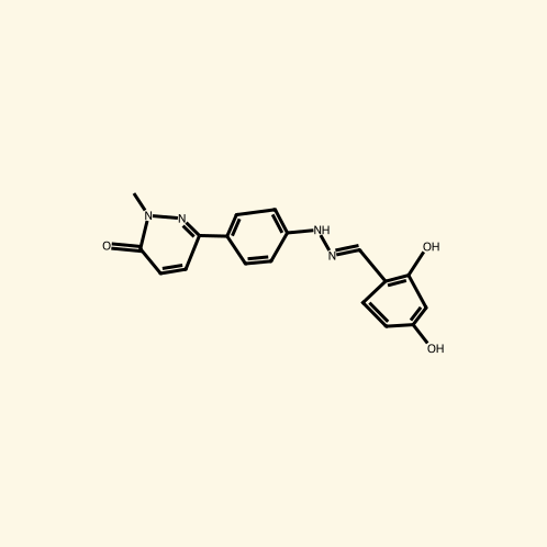 Cn1nc(-c2ccc(N/N=C/c3ccc(O)cc3O)cc2)ccc1=O